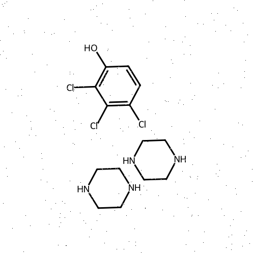 C1CNCCN1.C1CNCCN1.Oc1ccc(Cl)c(Cl)c1Cl